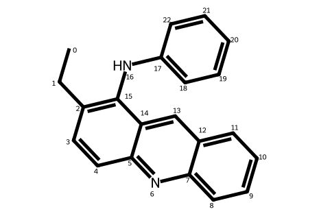 CCc1ccc2nc3ccccc3cc2c1Nc1ccccc1